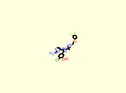 CC(C)(CNCCOc1ccc(F)c(F)c1)c1nc(-c2ccc(Cl)c(O)c2)c(-c2ccnc(N)n2)[nH]1